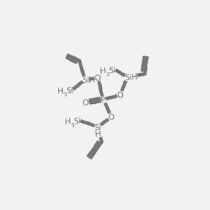 C=C[SiH]([SiH3])OP(=O)(O[SiH]([SiH3])C=C)O[SiH]([SiH3])C=C